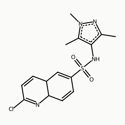 Cc1nn(C)c(C)c1NS(=O)(=O)C1=CC2C=CC(Cl)=NC2C=C1